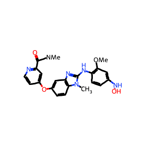 CNC(=O)c1cc(Oc2ccc3c(c2)nc(Nc2ccc(NO)cc2OC)n3C)ccn1